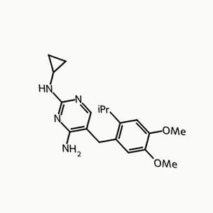 COc1cc(Cc2cnc(NC3CC3)nc2N)c(C(C)C)cc1OC